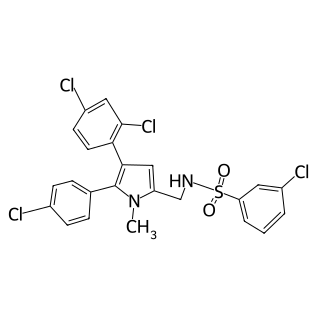 Cn1c(CNS(=O)(=O)c2cccc(Cl)c2)cc(-c2ccc(Cl)cc2Cl)c1-c1ccc(Cl)cc1